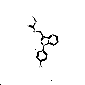 CC(C)(C)OC(=O)NCc1nn(-c2ccc(C(F)(F)F)cc2)c2cccnc12